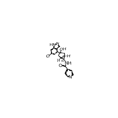 O=C(N[C@H]1[C@@H]2C[C@](O)(c3cc(Cl)cc4[nH]ncc34)C[C@@H]21)c1ccncc1